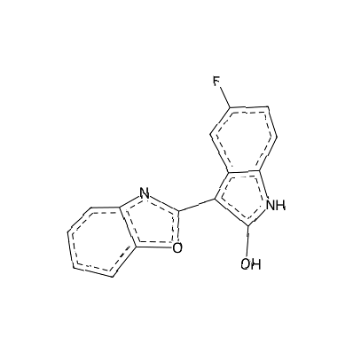 Oc1[nH]c2ccc(F)cc2c1-c1nc2ccccc2o1